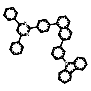 c1ccc(-c2cc(-c3ccccc3)nc(-c3ccc(-c4cccc5ccc(-c6cccc(-n7c8ccccc8c8ccccc87)c6)cc45)cc3)n2)cc1